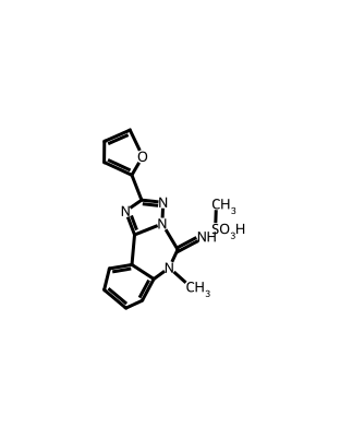 CS(=O)(=O)O.Cn1c(=N)n2nc(-c3ccco3)nc2c2ccccc21